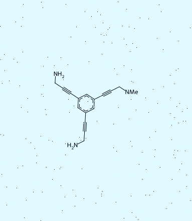 CNCC#Cc1cc(C#CCN)cc(C#CCN)c1